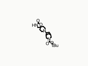 CC(C)(C)OC(=O)N1CC2CC(C1)C(N1CCC3(CC1)CNC(=O)O3)C2